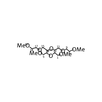 COCCOCCOC.COCCOCCOCCOCCOC